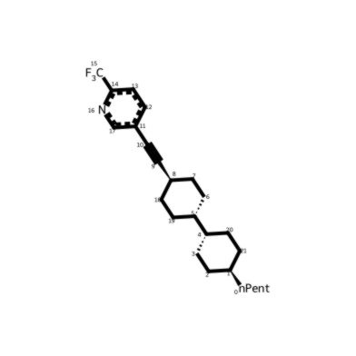 CCCCC[C@H]1CC[C@H]([C@H]2CC[C@H](C#Cc3ccc(C(F)(F)F)nc3)CC2)CC1